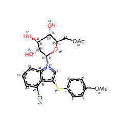 COc1ccc(Sc2cn([C@@H]3O[C@H](COC(C)=O)[C@@H](O)[C@H](O)[C@H]3O)c3cccc(Cl)c23)cc1